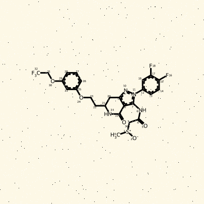 C[S+]([O-])CC(=O)Nc1c2c(nn1-c1ccc(F)c(F)c1)CC(CCOc1cccc(OCC(F)(F)F)c1)NC2=O